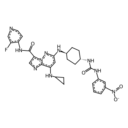 O=C(Nc1cccc([N+](=O)[O-])c1)N[C@H]1CC[C@H](Nc2cc(NC3CC3)c3ncc(C(=O)Nc4ccncc4F)n3n2)CC1